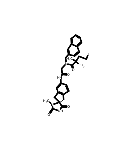 CN1C(=O)NC(=O)[C@@]12Cc1ccc(NC(=O)CN(Cc3ccc4ccccc4c3)C(=O)C(C)(C)CCI)cc1C2